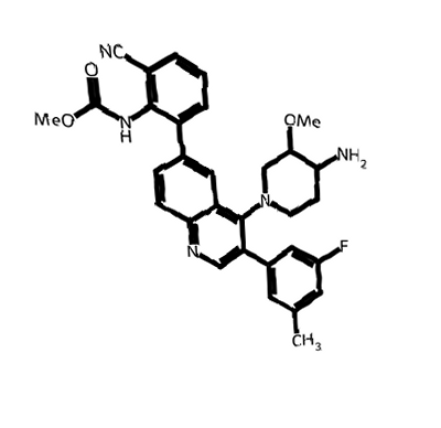 COC(=O)Nc1c(C#N)cccc1-c1ccc2ncc(-c3cc(C)cc(F)c3)c(N3CCC(N)C(OC)C3)c2c1